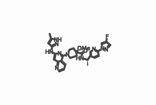 COC1(C(=O)N[C@@H](C)c2ccc(-n3cc(F)cn3)nc2)CCN(c2nc(Nc3cc(C)[nH]n3)cc3ncccc23)CC1